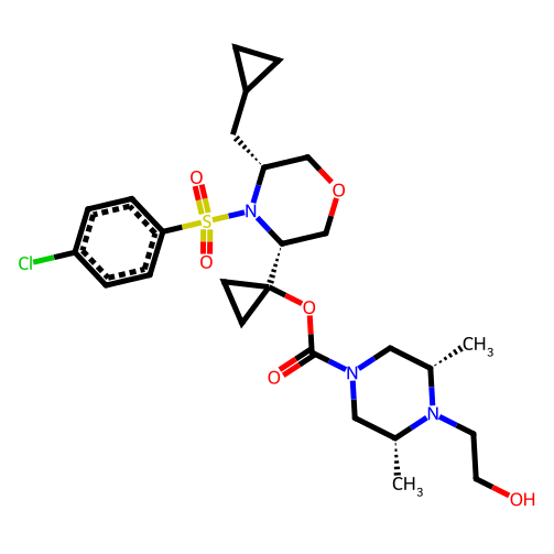 C[C@@H]1CN(C(=O)OC2([C@H]3COC[C@@H](CC4CC4)N3S(=O)(=O)c3ccc(Cl)cc3)CC2)C[C@H](C)N1CCO